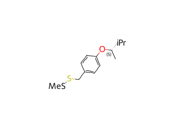 CSSCc1ccc(O[C@@H](C)C(C)C)cc1